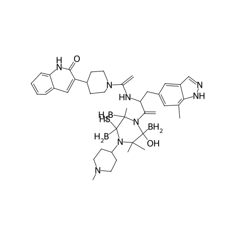 BC1(C)N(C(=C)C(Cc2cc(C)c3[nH]ncc3c2)NC(=C)N2CCC(c3cc4ccccc4[nH]c3=O)CC2)C(B)(O)C(C)(C)N(C2CCN(C)CC2)C1(B)S